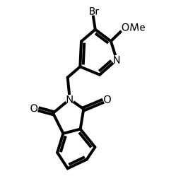 COc1ncc(CN2C(=O)c3ccccc3C2=O)cc1Br